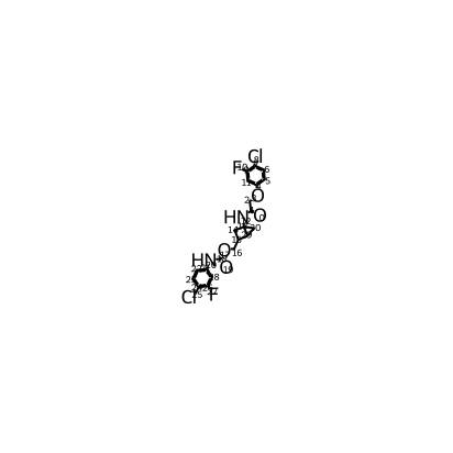 O=C(COc1ccc(Cl)c(F)c1)NC12CC(COC(=O)Nc3ccc(Cl)c(F)c3)C1C2